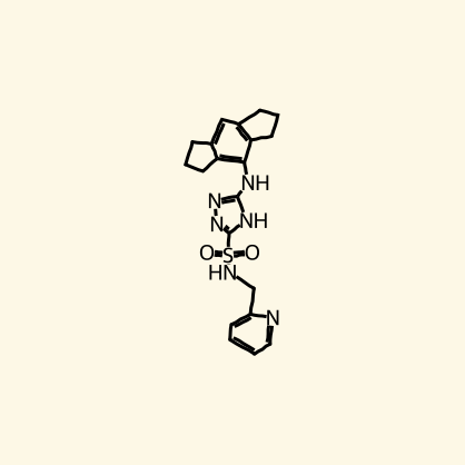 O=S(=O)(NCc1ccccn1)c1nnc(Nc2c3c(cc4c2CCC4)CCC3)[nH]1